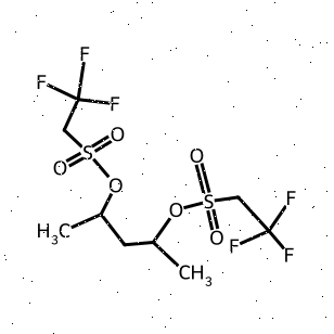 CC(CC(C)OS(=O)(=O)CC(F)(F)F)OS(=O)(=O)CC(F)(F)F